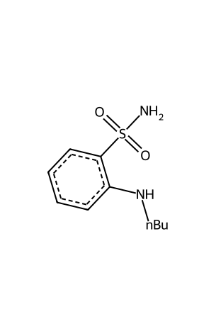 CCCCNc1ccccc1S(N)(=O)=O